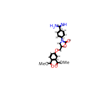 COC(=O)c1ccc(OCC2CN(c3ccc(C(=N)N)cc3)C(=O)O2)cc1C(=O)OC